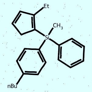 CCCCc1ccc([Si](C)(C2=C(CC)C=CC2)c2ccccc2)cc1